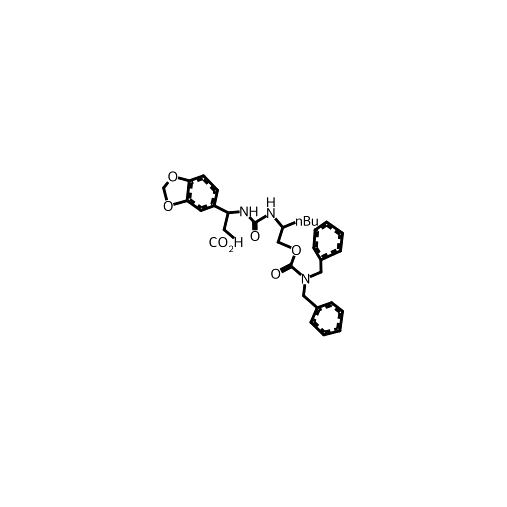 CCCCC(COC(=O)N(Cc1ccccc1)Cc1ccccc1)NC(=O)NC(CC(=O)O)c1ccc2c(c1)OCO2